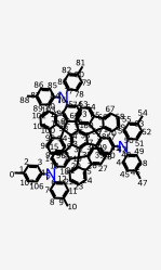 Cc1ccc(N(c2ccc(C)cc2)c2ccc3c(c2)C2(c4ccccc4-c4ccccc42)c2c-3c3c(c4c2-c2ccc(N(c5ccc(C)cc5)c5ccc(C)cc5)cc2C42c4ccccc4-c4ccccc42)-c2ccc(N(c4ccc(C)cc4)c4ccc(C)cc4)cc2C32c3ccccc3-c3ccccc32)cc1